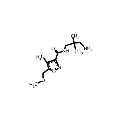 COCc1onc(C(=O)NCC(C)(C)CN)c1C